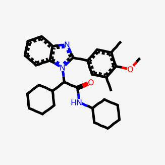 COc1c(C)cc(-c2nc3ccccc3n2C(C(=O)NC2CCCCC2)C2CCCCC2)cc1C